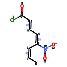 C\C=C/C(=C\C=C\C(=O)Cl)[N+](=O)[O-]